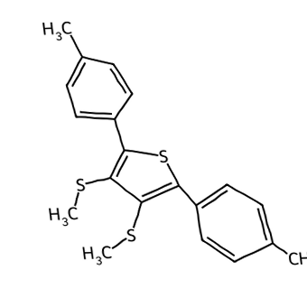 CSc1c(-c2ccc(C)cc2)sc(-c2ccc(C)cc2)c1SC